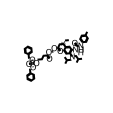 CC[C@@H](CC(=O)OCOC(=O)CCCOP(=O)(OCc1ccccc1)OCc1ccccc1)c1ccc(N(CC(C)C)CC(C)C)c(NC(=O)Nc2ccc(C)cc2)c1